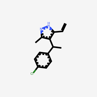 C=Cc1[nH]nc(C)c1C(C)c1ccc(Cl)cc1